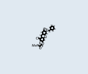 CNC(=O)C(F)(F)Oc1cc(Cl)c(Cc2ccc(OCc3ccccc3)c(C(C)C)c2)c(Cl)c1